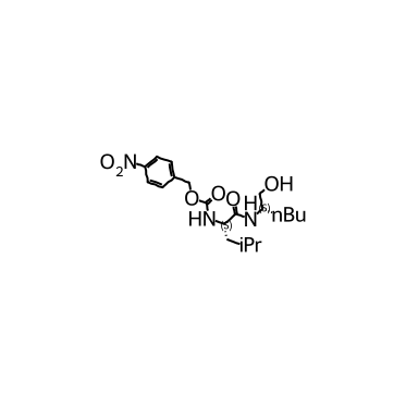 CCCC[C@@H](CO)NC(=O)[C@H](CC(C)C)NC(=O)OCc1ccc([N+](=O)[O-])cc1